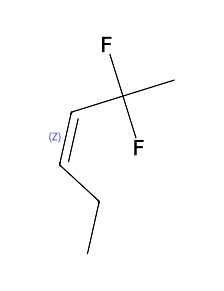 CC/C=C\C(C)(F)F